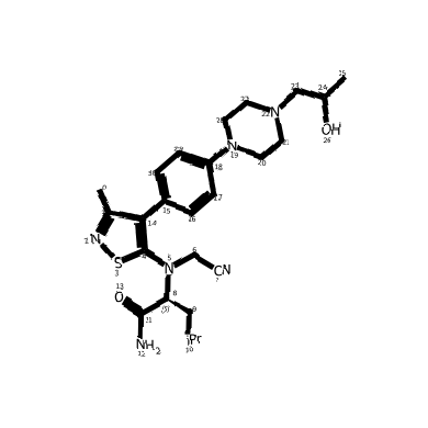 Cc1nsc(N(CC#N)[C@@H](CC(C)C)C(N)=O)c1-c1ccc(N2CCN(CC(C)O)CC2)cc1